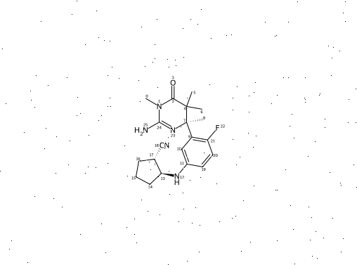 CN1C(=O)C(C)(C)[C@@](C)(c2cc(N[C@H]3CCC[C@@H]3C#N)ccc2F)N=C1N